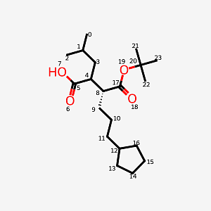 CC(C)CC(C(=O)O)[C@@H](CCCC1CCCC1)C(=O)OC(C)(C)C